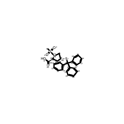 CS(=O)(=O)N1C[C@H](SC(c2ccccc2)(c2ccccc2)c2ccccc2)C[C@H]1C(=O)O